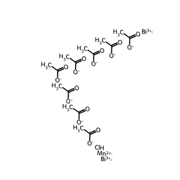 CC(=O)[O-].CC(=O)[O-].CC(=O)[O-].CC(=O)[O-].CC(=O)[O-].CC(=O)[O-].CC(=O)[O-].CC(=O)[O-].Cl.[Bi+3].[Bi+3].[Mn+2]